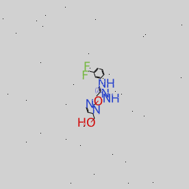 N=N/C(=C\Nc1cccc(C(F)F)c1)COc1nccc(CO)n1